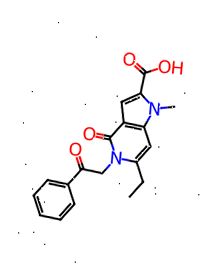 CCc1cc2c(cc(C(=O)O)n2C)c(=O)n1CC(=O)c1ccccc1